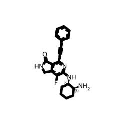 N[C@H]1CCCC[C@H]1Nc1nc(C#Cc2ccccc2)c2c(c1F)CNC2=O